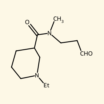 CCN1CCCC(C(=O)N(C)CCC=O)C1